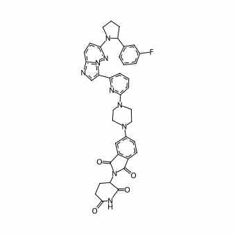 O=C1CCC(N2C(=O)c3ccc(N4CCN(c5cccc(-c6cnc7ccc(N8CCCC8c8cccc(F)c8)nn67)n5)CC4)cc3C2=O)C(=O)N1